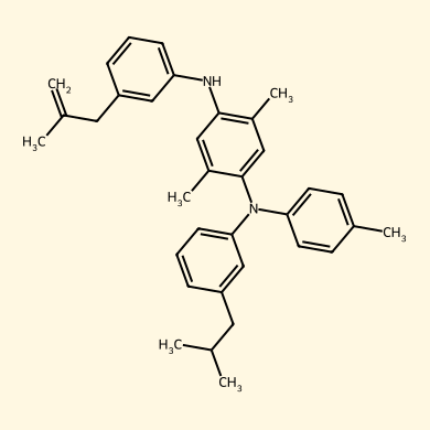 C=C(C)Cc1cccc(Nc2cc(C)c(N(c3ccc(C)cc3)c3cccc(CC(C)C)c3)cc2C)c1